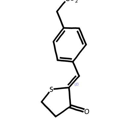 CCOC(=O)Cc1ccc(/C=C2\SCCC2=O)cc1